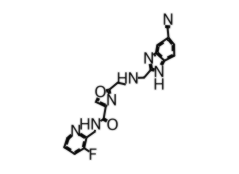 N#Cc1ccc2[nH]c(CNCCc3nc(C(=O)NCc4ncccc4F)co3)nc2c1